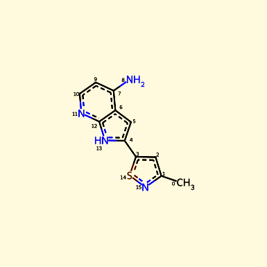 Cc1cc(-c2cc3c(N)ccnc3[nH]2)sn1